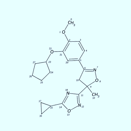 COc1ccc(C2=NOC(C)(c3noc(C4CC4)n3)C2)cc1OC1CCCC1